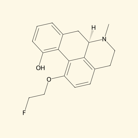 CN1CCc2ccc(OCCF)c3c2[C@H]1Cc1cccc(O)c1-3